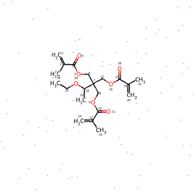 C=C(C)C(=O)OCC(COC(=O)C(=C)C)(COC(=O)C(=C)C)C(C)OCC